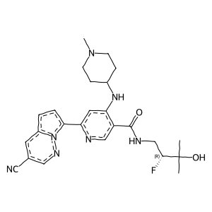 CN1CCC(Nc2cc(-c3ccc4cc(C#N)cnn34)ncc2C(=O)NC[C@@H](F)C(C)(C)O)CC1